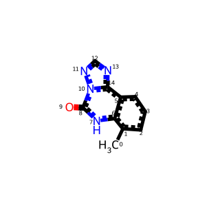 Cc1cccc2c1[nH]c(=O)n1ncnc21